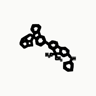 CC1(C)c2cc(Nc3ccccc3)ccc2-c2ccc(-c3ccc4c(c3)-c3ccccc3C43C4CC5CC6CC3C6(C5)C4)cc21